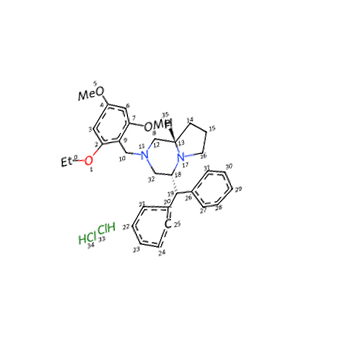 CCOc1cc(OC)cc(OC)c1CN1C[C@@H]2CCCN2[C@H](C(c2ccccc2)c2ccccc2)C1.Cl.Cl